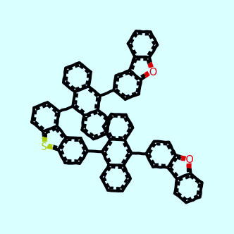 c1ccc2c(c1)oc1ccc(-c3c4ccccc4c(-c4ccc5sc6cccc(-c7c8ccccc8c(-c8ccc9oc%10ccccc%10c9c8)c8ccccc78)c6c5c4)c4ccccc34)cc12